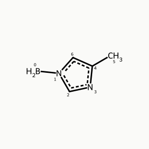 Bn1cnc(C)c1